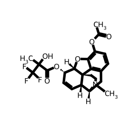 CC(=O)Oc1ccc2c3c1O[C@H]1[C@@H](OC(=O)C(C)(O)C(F)(F)F)C=C[C@H]4[C@@H](C2)N(C)CC[C@@]341